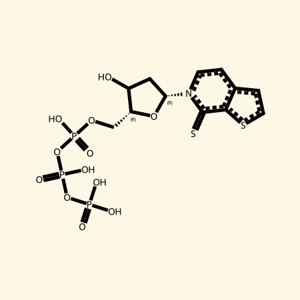 O=P(O)(O)OP(=O)(O)OP(=O)(O)OC[C@H]1O[C@@H](n2ccc3ccsc3c2=S)CC1O